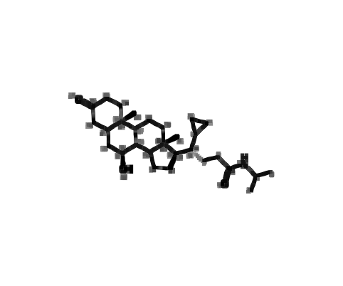 CC(C)NC(=O)CC[C@@H](C1CC1)[C@H]1CCC2C3C(CC[C@@]21C)[C@@]1(C)CCC(=O)CC1C[C@@H]3O